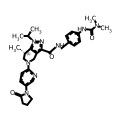 CC(C)n1nc(C(=O)NCc2ccc(NC(=O)N(C)C)cc2)c2c1[C@@H](C)CN(c1ccc(N3CCCC3=O)cn1)C2